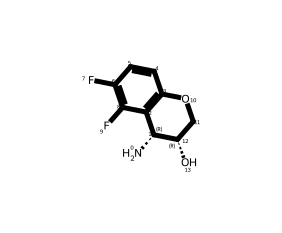 N[C@@H]1c2c(ccc(F)c2F)OC[C@@H]1O